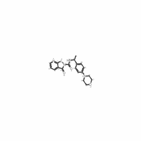 CC(NC(=O)n1sc2ncccc2c1=O)c1ccc(N2CCOCC2)cc1